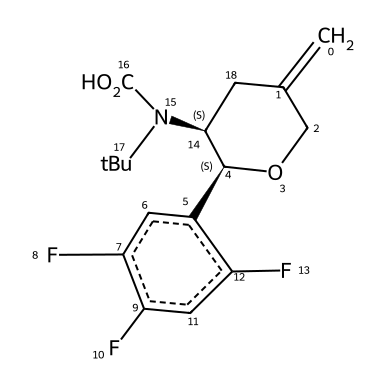 C=C1CO[C@@H](c2cc(F)c(F)cc2F)[C@@H](N(C(=O)O)C(C)(C)C)C1